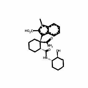 Cn1c(C(=O)O)c([C@]2(C(N)=O)CCCC[C@H]2C(=O)N[C@H]2CCCC[C@@H]2O)c2ccccc21